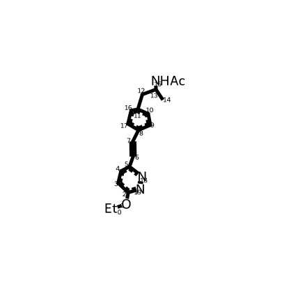 CCOc1ccc(C#Cc2ccc(CC(C)NC(C)=O)cc2)nn1